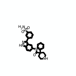 NS(=O)(=O)c1cccc(-c2n[nH]c3ccc(NC(=O)C4(c5ccccc5)CCNCC4)cc23)c1